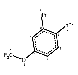 CCCc1ccc(OC(F)(F)F)cc1[C](C)C